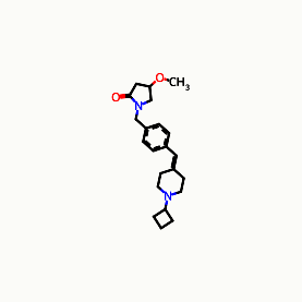 COC1CC(=O)N(Cc2ccc(C=C3CCN(C4CCC4)CC3)cc2)C1